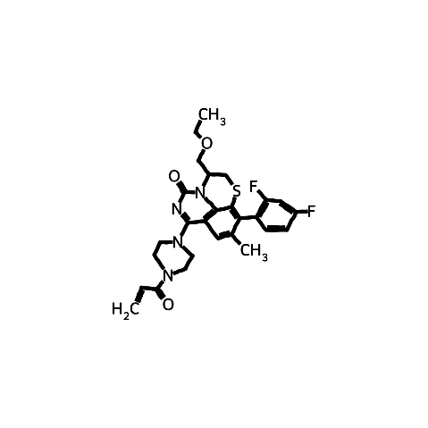 C=CC(=O)N1CCN(c2nc(=O)n3c4c(c(-c5ccc(F)cc5F)c(C)cc24)SCC3COCC)CC1